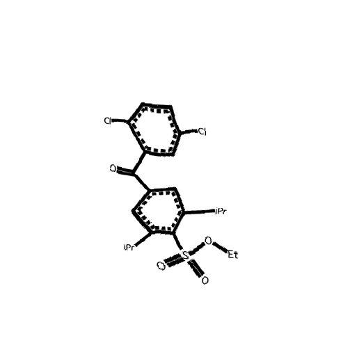 CCOS(=O)(=O)c1c(C(C)C)cc(C(=O)c2cc(Cl)ccc2Cl)cc1C(C)C